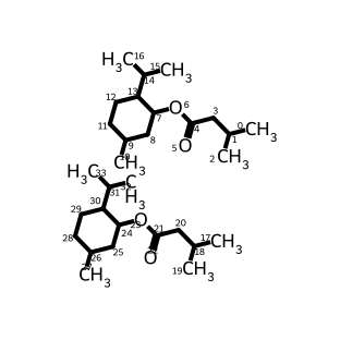 CC(C)CC(=O)OC1CC(C)CCC1C(C)C.CC(C)CC(=O)OC1CC(C)CCC1C(C)C